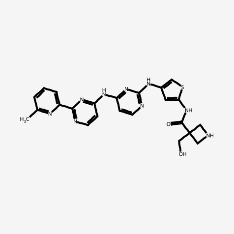 Cc1cccc(-c2nccc(Nc3ccnc(Nc4csc(NC(=O)C5(CO)CNC5)c4)n3)n2)n1